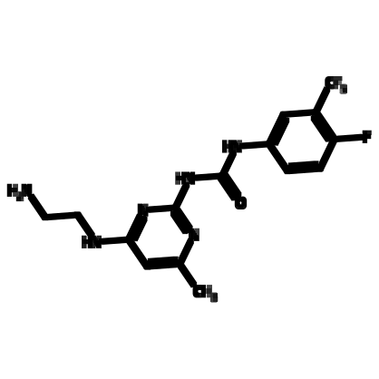 Cc1cc(NCCN)nc(NC(=O)Nc2ccc(F)c(C(F)(F)F)c2)n1